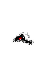 CCOC(=O)O[C@]1(C(=O)COC(=O)CCC(=O)Oc2cccc(CO[N+](=O)[O-])c2)CC[C@H]2[C@@H]3CCC4=CC(=O)C=C[C@]4(C)[C@H]3[C@@H](O)C[C@@]21C